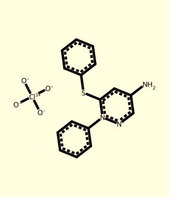 Nc1cn[n+](-c2ccccc2)c(Sc2ccccc2)c1.[O-][Cl+3]([O-])([O-])[O-]